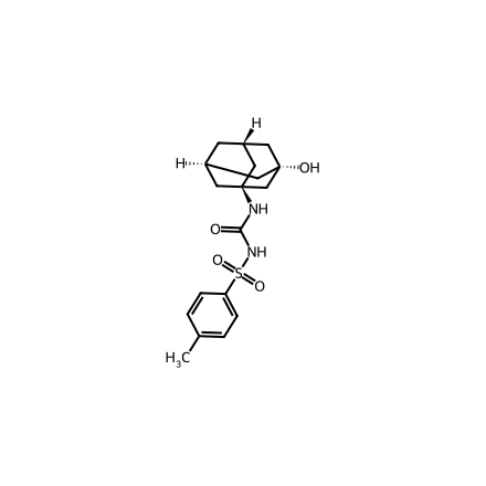 Cc1ccc(S(=O)(=O)NC(=O)N[C@@]23C[C@@H]4C[C@@H](C[C@@](O)(C4)C2)C3)cc1